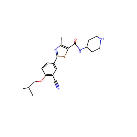 Cc1nc(-c2ccc(OCC(C)C)c(C#N)c2)sc1C(=O)NC1CCNCC1